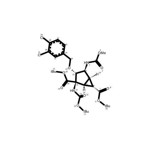 COC(=O)N[C@H]1[C@H]2[C@H](C(=O)OC(C)(C)C)[C@H]2[C@](NC(=O)OC(C)(C)C)(C(=O)OC(C)(C)C)[C@@H]1OCc1ccc(Cl)c(Cl)c1